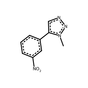 Cn1nncc1-c1cccc([N+](=O)[O-])c1